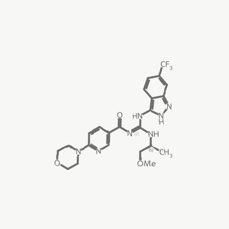 COC[C@H](C)N/C(=N/C(=O)c1ccc(N2CCOCC2)nc1)Nc1[nH]nc2cc(C(F)(F)F)ccc12